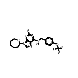 Fc1nc(NCc2ccc(OC(F)(F)F)cc2)c2ncn(C3CCCCCO3)c2n1